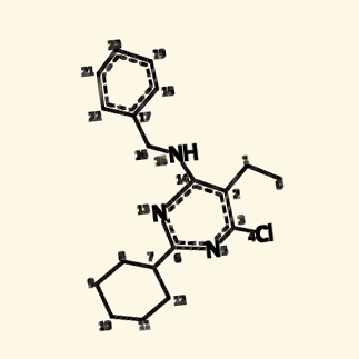 CCc1c(Cl)nc(C2CCCCC2)nc1NCc1ccccc1